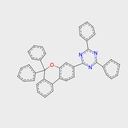 c1ccc(-c2nc(-c3ccccc3)nc(-c3ccc4c(c3)OC(c3ccccc3)(c3ccccc3)c3ccccc3-4)n2)cc1